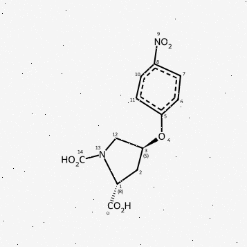 O=C(O)[C@H]1C[C@H](Oc2ccc([N+](=O)[O-])cc2)CN1C(=O)O